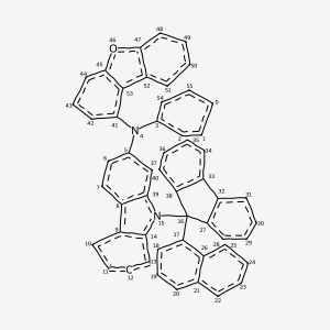 c1ccc(N(c2ccc3c4ccccc4n(C4(c5cccc6ccccc56)c5ccccc5-c5ccccc54)c3c2)c2cccc3oc4ccccc4c23)cc1